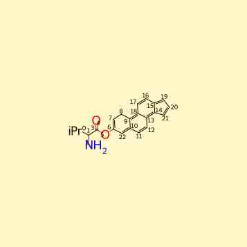 CC(C)C(N)C(=O)OC1=CCc2c(ccc3c4c(ccc23)=CC=C4)=C1